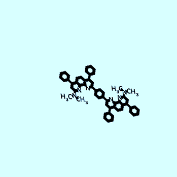 CN(C)c1cc(-c2ccccc2)c2ccc3c(-c4ccccc4)cc(-c4ccc(-c5cc(-c6ccccc6)c6ccc7c(-c8ccccc8)cc(N(C)C)nc7c6n5)cc4)nc3c2n1